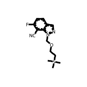 CS(C)(C)CCOCn1ncc2ccc(F)c(C#N)c21